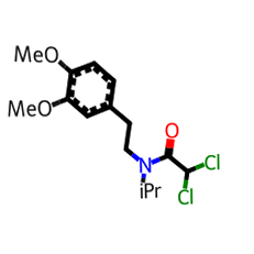 COc1ccc(CCN(C(=O)C(Cl)Cl)C(C)C)cc1OC